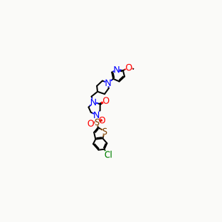 COc1ccc(N2CCC(CN3CCN(S(=O)(=O)c4cc5ccc(Cl)cc5s4)CC3=O)CC2)cn1